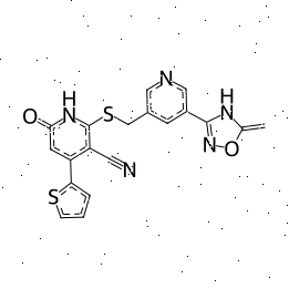 C=C1NC(c2cncc(CSc3[nH]c(=O)cc(-c4cccs4)c3C#N)c2)=NO1